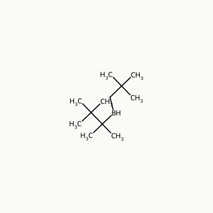 CC(C)(C)CBC(C)(C)C(C)(C)C